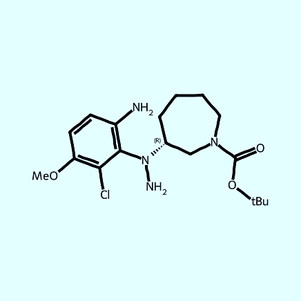 COc1ccc(N)c(N(N)[C@@H]2CCCCN(C(=O)OC(C)(C)C)C2)c1Cl